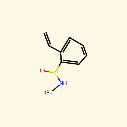 C=Cc1ccccc1[S+]([O-])NC(C)(C)C